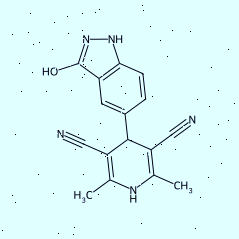 CC1=C(C#N)C(c2ccc3[nH]nc(O)c3c2)C(C#N)=C(C)N1